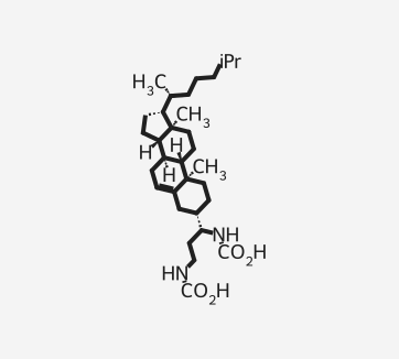 CC(C)CCC[C@@H](C)[C@H]1CC[C@H]2[C@@H]3CC=C4C[C@@H](C(CCNC(=O)O)NC(=O)O)CC[C@]4(C)[C@H]3CC[C@]12C